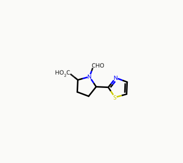 O=CN1C(C(=O)O)CCC1c1nccs1